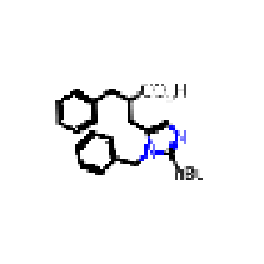 CCCCc1ncc(CC(Cc2ccccc2)C(=O)O)n1Cc1ccccc1